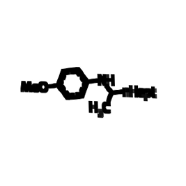 CCCCCCCC(C)Nc1ccc(OC)cc1